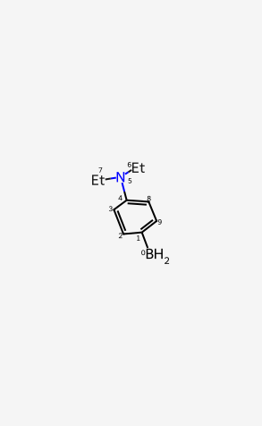 Bc1ccc(N(CC)CC)cc1